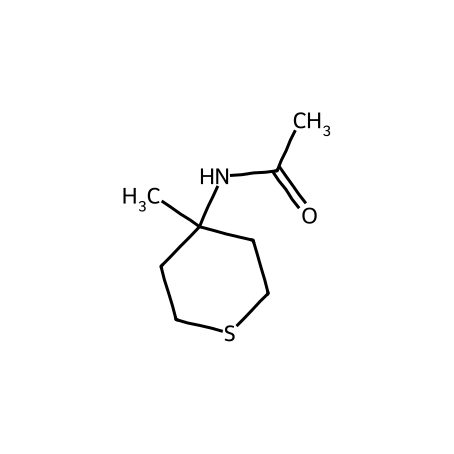 CC(=O)NC1(C)CCSCC1